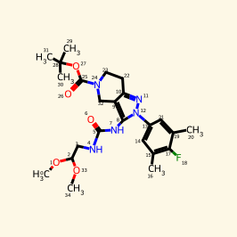 COC(CNC(=O)Nc1c2c(nn1-c1cc(C)c(F)c(C)c1)CCN(C(=O)OC(C)(C)C)C2)OC